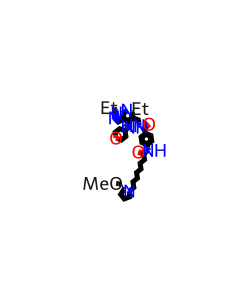 CCc1nc2c(cnn2CC)c(NC2CCOCC2)c1CNC(=O)c1ccc(NC(=O)CCCCCCCN2CCC[C@@H]2COC)cc1